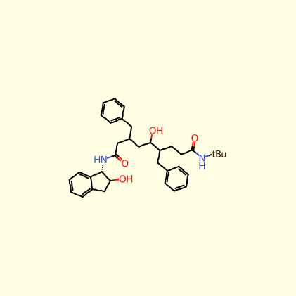 CC(C)(C)NC(=O)CCC(Cc1ccccc1)C(O)CC(CC(=O)N[C@H]1c2ccccc2C[C@@H]1O)Cc1ccccc1